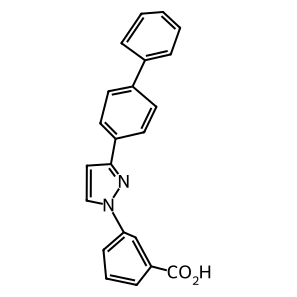 O=C(O)c1cccc(-n2ccc(-c3ccc(-c4ccccc4)cc3)n2)c1